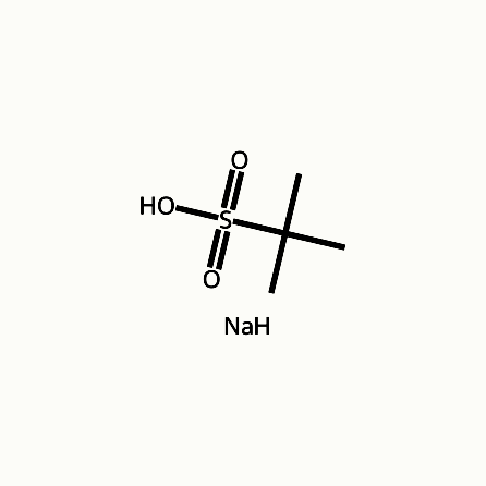 CC(C)(C)S(=O)(=O)O.[NaH]